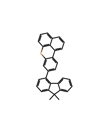 CC1(C)c2ccccc2-c2c(-c3ccc4c(c3)Sc3cccc5cccc-4c35)cccc21